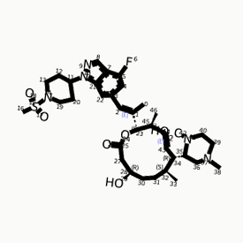 C/C(=C\c1cc(F)c2cnn(C3CCN(S(C)(=O)=O)CC3)c2c1)[C@H]1OC(=O)C[C@H](O)CC[C@H](C)[C@@H](C2CN(C)CCN2C(=O)O)/C=C/[C@@H]1C